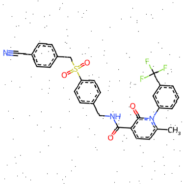 Cc1ccc(C(=O)NCc2ccc(S(=O)(=O)Cc3ccc(C#N)cc3)cc2)c(=O)n1-c1cccc(C(F)(F)F)c1